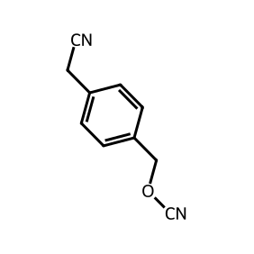 N#CCc1ccc(COC#N)cc1